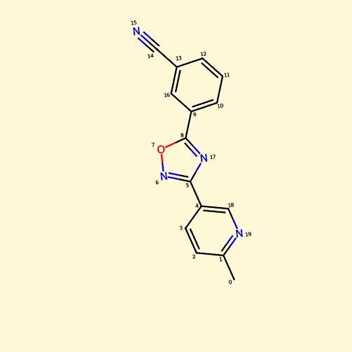 Cc1ccc(-c2noc(-c3cccc(C#N)c3)n2)cn1